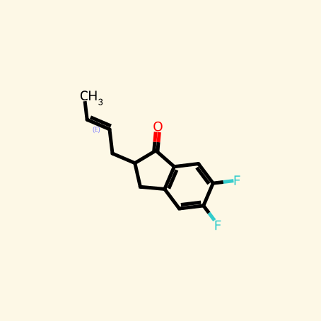 C/C=C/CC1Cc2cc(F)c(F)cc2C1=O